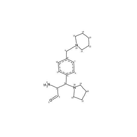 NC(C=O)C(c1ccc(CN2CCCCC2)cc1)N1CCCC1